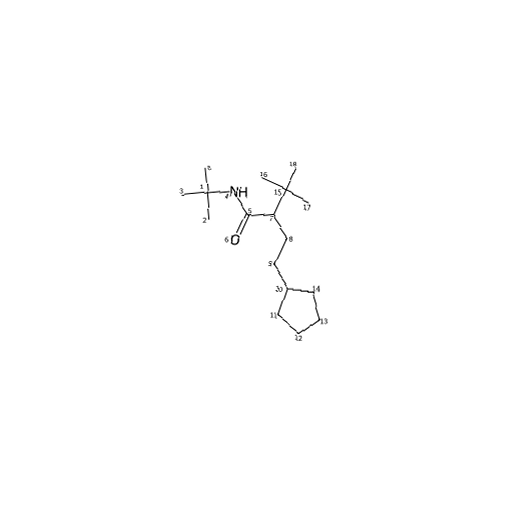 CC(C)(C)NC(=O)C(CCC1CCCC1)C(C)(C)C